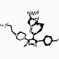 CNc1cn2nc(-c3c(-c4ccc(F)cc4)nn(C)c3N3CCN(CCN)CC3)ccc2n1